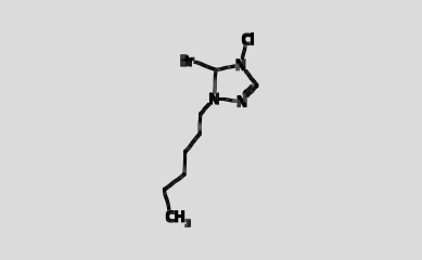 CCCCCCN1N=CN(Cl)C1Br